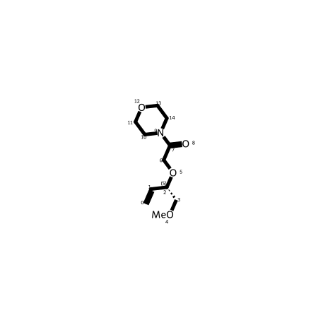 C=C[C@@H](COC)OCC(=O)N1CCOCC1